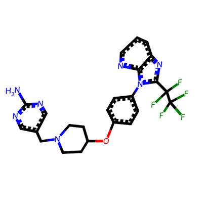 Nc1ncc(CN2CCC(Oc3ccc(-n4c(C(F)(F)C(F)(F)F)nc5cccnc54)cc3)CC2)cn1